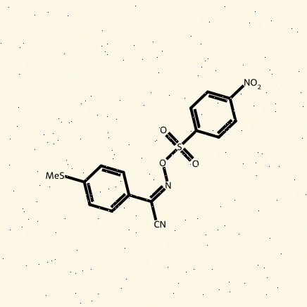 CSc1ccc(/C(C#N)=N\OS(=O)(=O)c2ccc([N+](=O)[O-])cc2)cc1